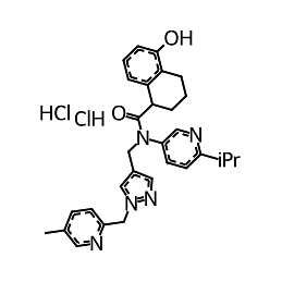 Cc1ccc(Cn2cc(CN(C(=O)C3CCCc4c(O)cccc43)c3ccc(C(C)C)nc3)cn2)nc1.Cl.Cl